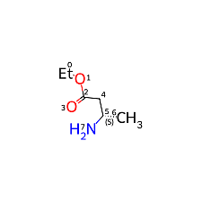 CCOC(=O)C[C@H](C)N